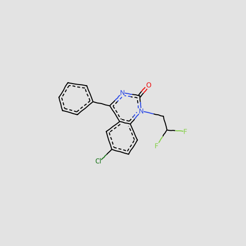 O=c1nc(-c2ccccc2)c2cc(Cl)ccc2n1CC(F)F